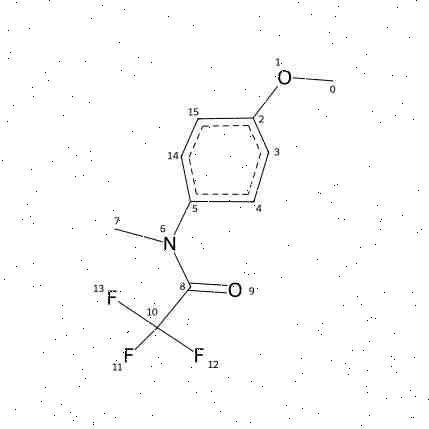 COc1ccc(N(C)C(=O)C(F)(F)F)cc1